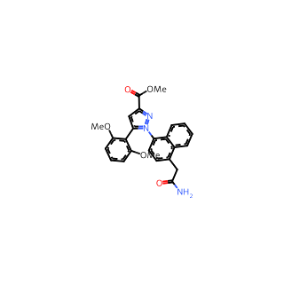 COC(=O)c1cc(-c2c(OC)cccc2OC)n(-c2ccc(CC(N)=O)c3ccccc23)n1